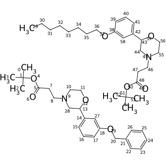 CC(C)(C)OC(=O)CCN1CCOC(c2cccc(OCc3ccccc3)c2)C1.CCCCCCCCOc1cccc(C2CN(CCC(=O)OC(C)(C)C)CCO2)c1